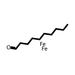 CCCCCCCCCC=O.[Fe].[Fe]